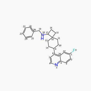 Fc1ccc2nccc(C3CCC4(CC3)CCC4NCc3ccccc3)c2c1